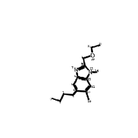 CCCCc1cc2nc(COCC)n(C)c2cc1C